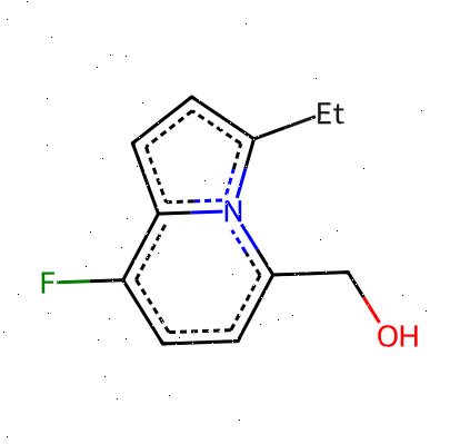 CCc1ccc2c(F)ccc(CO)n12